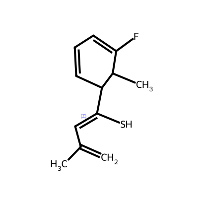 C=C(C)/C=C(\S)C1C=CC=C(F)C1C